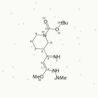 CNN/C(=C\C(=N)C1CCCN(C(=O)OC(C)(C)C)C1)OC